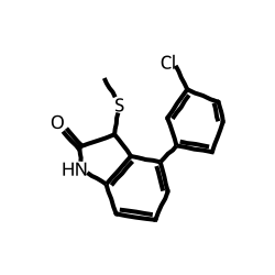 CSC1C(=O)Nc2cccc(-c3cccc(Cl)c3)c21